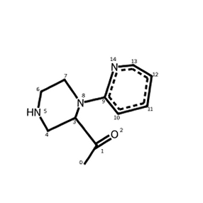 CC(=O)C1CNCCN1c1ccccn1